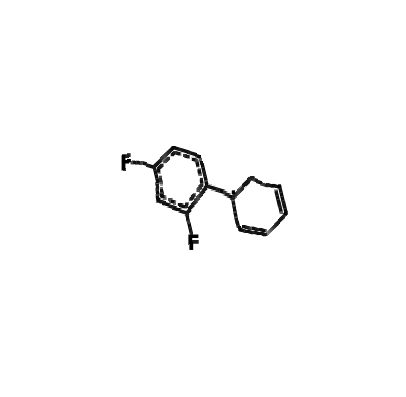 Fc1ccc([C]2C=CC=CC2)c(F)c1